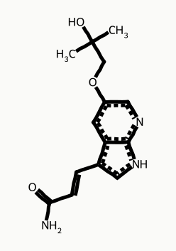 CC(C)(O)COc1cnc2[nH]cc(C=CC(N)=O)c2c1